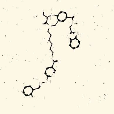 CN(Cc1nc2ccccc2[nH]1)C(=O)c1ccc2c(c1)CN(CCCCCCNC(=O)c1ccc(NN=Cc3ccccc3S(=O)(=O)O)nc1)C(=O)C(CC(=O)O)N2